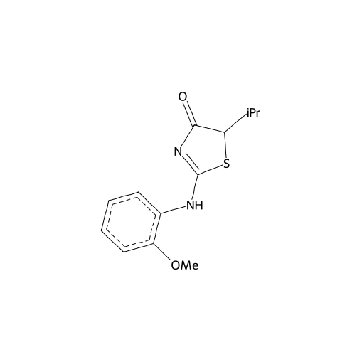 COc1ccccc1NC1=NC(=O)C(C(C)C)S1